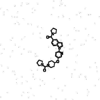 O=C(c1ccc2c(ccn2-c2ccc(OC3CCN(C(=O)N4CCCC4)CC3)cn2)c1)N1CCCC1